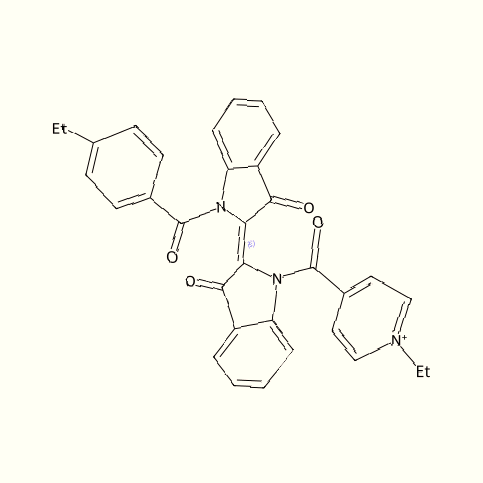 CCc1ccc(C(=O)N2/C(=C3\C(=O)c4ccccc4N3C(=O)c3cc[n+](CC)cc3)C(=O)c3ccccc32)cc1